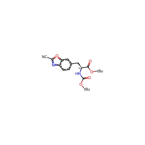 CC(C)(C)OC(=O)N[C@@H](Cc1ccc2nc(C#N)oc2c1)C(=O)OC(C)(C)C